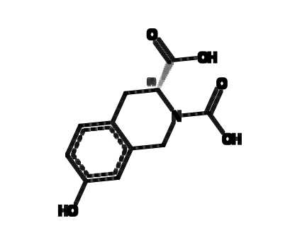 O=C(O)[C@H]1Cc2ccc(O)cc2CN1C(=O)O